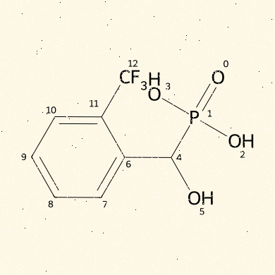 O=P(O)(O)C(O)c1ccccc1C(F)(F)F